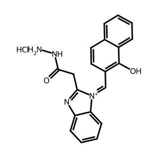 Cl.NNC(=O)CC1=Nc2ccccc2[N+]1=Cc1ccc2ccccc2c1O